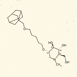 CN1C[C@H](OCCCCCOCC23CC4CC(CC(C4)C2)C3)[C@@H](O)[C@H](O)[C@H]1CO